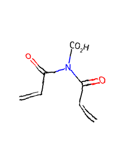 C=CC(=O)N(C(=O)O)C(=O)C=C